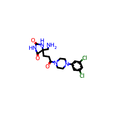 NCC1(CCC(=O)N2CCN(c3cc(Cl)cc(Cl)c3)CC2)NC(=O)NC1=O